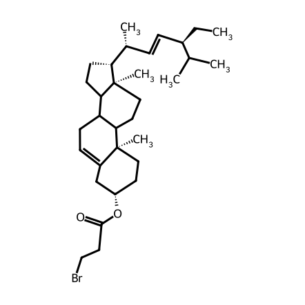 CC[C@H](C=C[C@@H](C)[C@H]1CCC2C3CC=C4C[C@@H](OC(=O)CCBr)CC[C@]4(C)C3CC[C@@]21C)C(C)C